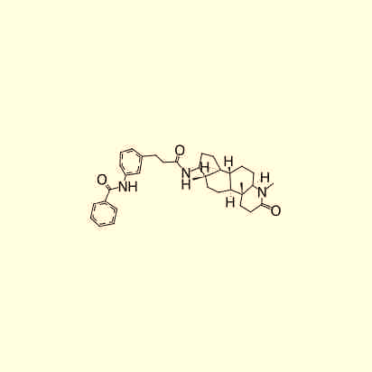 CN1C(=O)CC[C@]2(C)[C@H]3CC[C@]4(C)C(NC(=O)CCc5cccc(NC(=O)c6ccccc6)c5)CC[C@H]4[C@@H]3CC[C@@H]12